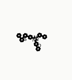 c1ccc(-c2cccc(-c3nc(-c4ccc(-c5cccc6c5sc5cccc(-c7ccccc7)c56)cc4)nc(-c4ccc5c(c4)oc4ccccc45)n3)c2)cc1